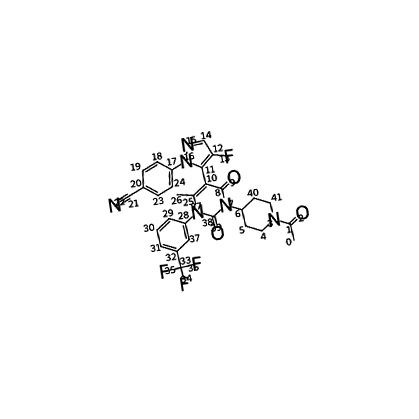 CC(=O)N1CCC(n2c(=O)c(-c3c(F)cnn3-c3ccc(C#N)cc3)c(C)n(-c3cccc(C(F)(F)F)c3)c2=O)CC1